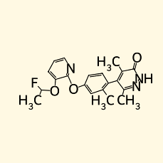 Cc1cc(Oc2ncccc2OC(C)F)ccc1-c1c(C)n[nH]c(=O)c1C